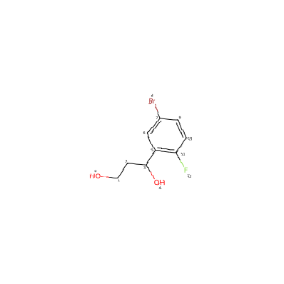 OCCC(O)c1cc(Br)ccc1F